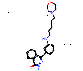 O=c1[nH]nc(-c2cccc(NCCCCCN3CCOCC3)c2)c2ccccc12